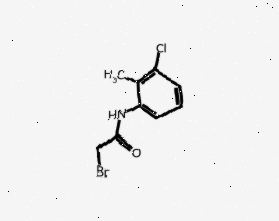 Cc1c(Cl)cccc1NC(=O)CBr